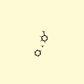 COC(=O)c1ccc(OC(=S)Sc2ccccc2)c(Br)c1Br